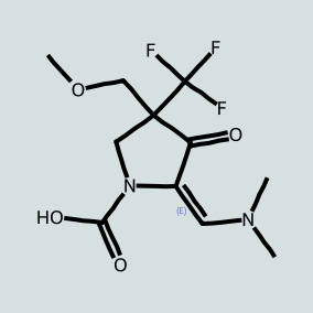 COCC1(C(F)(F)F)CN(C(=O)O)/C(=C/N(C)C)C1=O